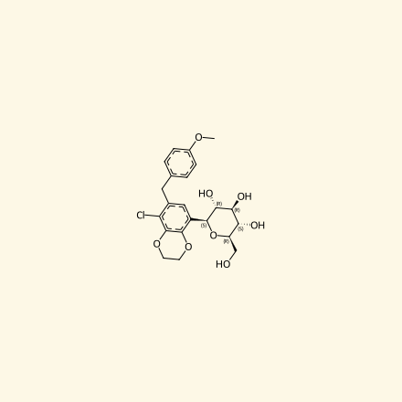 COc1ccc(Cc2cc([C@@H]3O[C@H](CO)[C@@H](O)[C@H](O)[C@H]3O)c3c(c2Cl)OCCO3)cc1